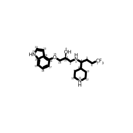 O[C@@H](CNC(CCC(F)(F)F)C1CCNCC1)COc1cccc2[nH]ccc12